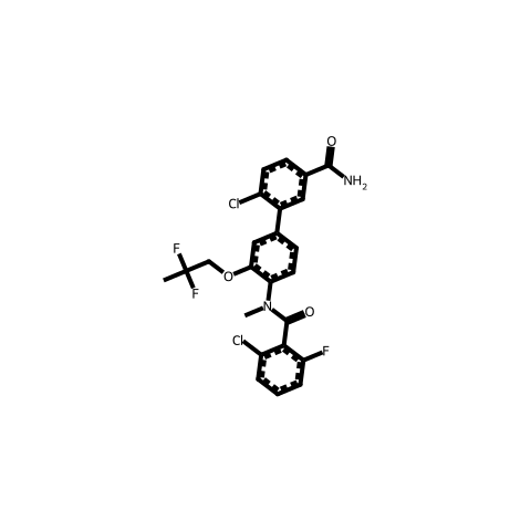 CN(C(=O)c1c(F)cccc1Cl)c1ccc(-c2cc(C(N)=O)ccc2Cl)cc1OCC(C)(F)F